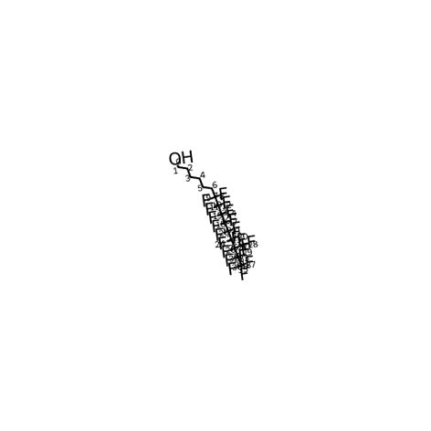 OCCCCCCC(F)(F)C(F)(F)C(F)(F)C(F)(F)C(F)(F)C(F)(F)C(F)(C(F)(F)F)C(F)(F)C(F)(F)F